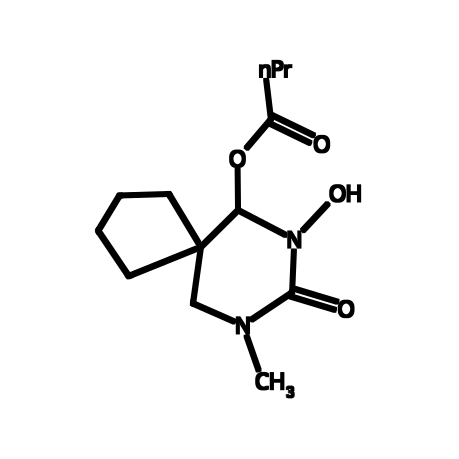 CCCC(=O)OC1N(O)C(=O)N(C)CC12CCCC2